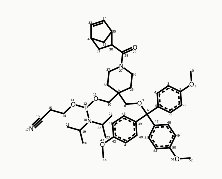 COc1ccc(C(OCC2(COP(OCCC#N)N(C(C)C)C(C)C)CCN(C(=O)C3CC4C=CC3C4)CC2)(c2ccc(OC)cc2)c2ccc(OC)cc2)cc1